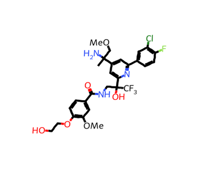 COCC(C)(N)c1cc(-c2ccc(F)c(Cl)c2)nc(C(O)(CNC(=O)c2ccc(OCCO)c(OC)c2)C(F)(F)F)c1